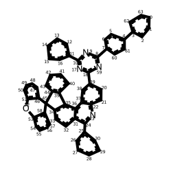 c1ccc(-c2ccc(-c3nc(-c4ccccc4)nc(-c4ccc5nc(-c6ccccc6)c6ccc7c(c6c5c4)-c4ccccc4C74c5ccccc5Oc5ccccc54)n3)cc2)cc1